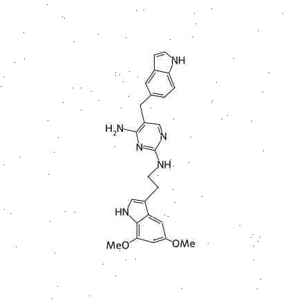 COc1cc(OC)c2[nH]cc(CCNc3ncc(Cc4ccc5[nH]ccc5c4)c(N)n3)c2c1